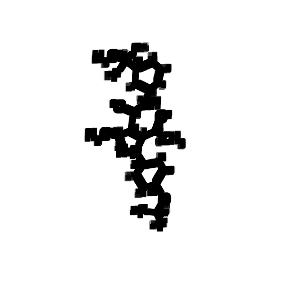 CC(=O)c1c(C(=O)Nc2cccc(C(C)(F)F)c2)c(C)nn1-c1ccc(OC(F)F)cc1